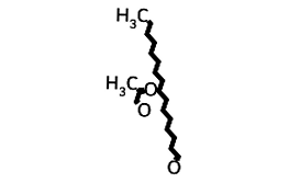 CC(=O)C=O.CCCCCCCCCCCCCCCC=O